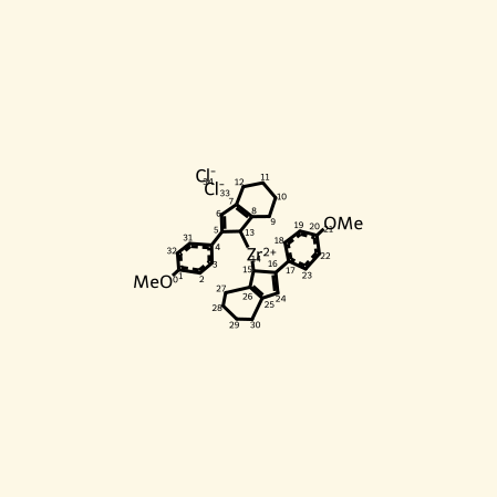 COc1ccc(C2=CC3=C(CCCC3)[CH]2[Zr+2][CH]2C(c3ccc(OC)cc3)=CC3=C2CCCC3)cc1.[Cl-].[Cl-]